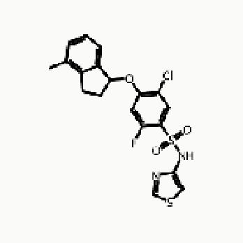 Cc1cccc2c1CCC2Oc1cc(F)c(S(=O)(=O)Nc2cscn2)cc1Cl